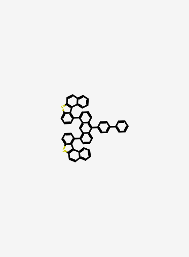 c1ccc(-c2ccc(-c3c4cccc(-c5cccc6sc7ccc8ccccc8c7c56)c4cc4c(-c5cccc6sc7ccc8ccccc8c7c56)cccc34)cc2)cc1